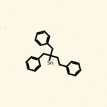 [Sn][C](CCc1ccccc1)(Cc1ccccc1)Cc1ccccc1